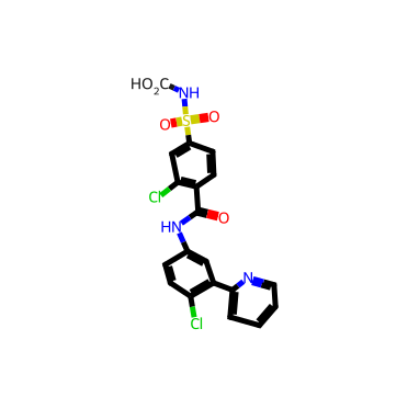 O=C(O)NS(=O)(=O)c1ccc(C(=O)Nc2ccc(Cl)c(-c3ccccn3)c2)c(Cl)c1